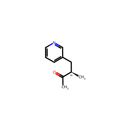 CC(=O)[C@H](C)Cc1cccnc1